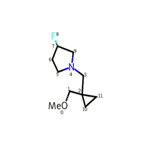 COCC1(CN2CC[C@@H](F)C2)CC1